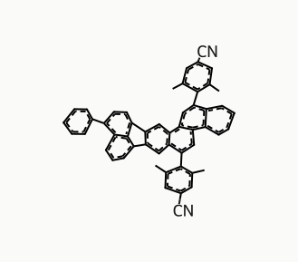 Cc1cc(C#N)cc(C)c1-c1cc2c3cc4c(cc3c(-c3c(C)cc(C#N)cc3C)cc2c2ccccc12)-c1cccc2c(-c3ccccc3)ccc-4c12